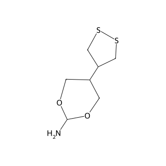 NC1OCC(C2CSSC2)CO1